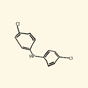 Clc1ccc(Pc2ccc(Cl)cc2)cc1